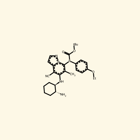 CCOc1ccc(N(C(=O)OC(C)(C)C)c2c(C)c(N[C@@H]3CCCC[C@H]3N)c(C#N)c3ccnn23)cc1